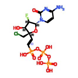 Nc1ccn([C@@H]2O[C@@](/C=C/P(=O)(O)OP(=O)(O)OP(=O)(O)O)(CCl)[C@@H](O)[C@H]2F)c(=O)n1